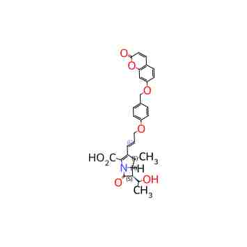 CC(O)[C@H]1C(=O)N2C(C(=O)O)=C(/C=C/COc3ccc(COc4ccc5ccc(=O)oc5c4)cc3)[C@H](C)[C@H]12